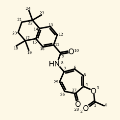 CC(=O)Oc1ccc(NC(=O)c2ccc3c(c2)C(C)(C)CCC3(C)C)ccc1=O